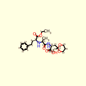 CCOC(=O)[C@H](CCc1ccccc1)NC(C)C(=O)N[C@@H](CC1(C)OCCCO1)C(=O)O